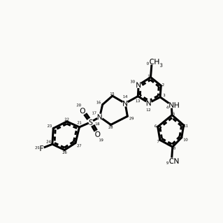 Cc1cc(Nc2ccc(C#N)cc2)nc(N2CCN(S(=O)(=O)c3ccc(F)cc3)CC2)n1